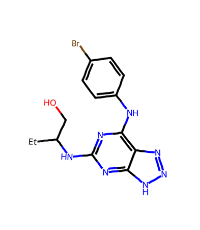 CCC(CO)Nc1nc(Nc2ccc(Br)cc2)c2nn[nH]c2n1